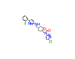 O=C1O[C@]2(CC[C@H](CNc3ccc(-c4ccccc4F)nn3)CC2)CN1c1ccc(Cl)nn1